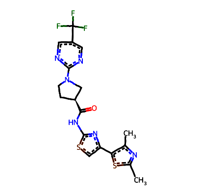 Cc1nc(C)c(-c2csc(NC(=O)[C@H]3CCN(c4ncc(C(F)(F)F)cn4)C3)n2)s1